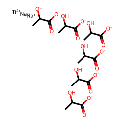 CC(O)C(=O)[O-].CC(O)C(=O)[O-].CC(O)C(=O)[O-].CC(O)C(=O)[O-].CC(O)C(=O)[O-].CC(O)C(=O)[O-].[Na+].[Na+].[Ti+4]